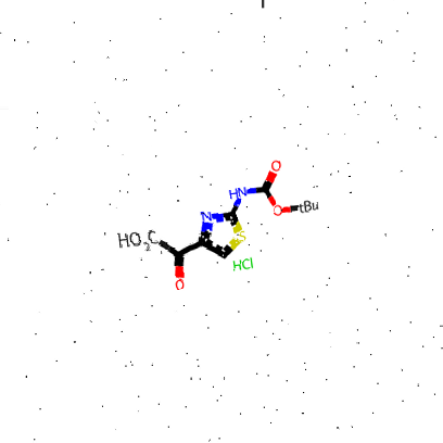 CC(C)(C)OC(=O)Nc1nc(C(=O)C(=O)O)cs1.Cl